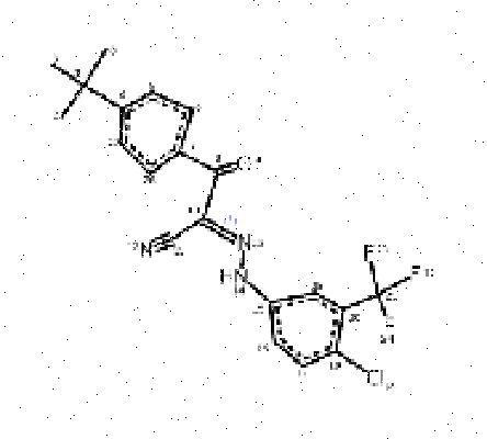 CC(C)(C)c1ccc(C(=O)/C(C#N)=N/Nc2ccc(Cl)c(C(F)(F)F)c2)cc1